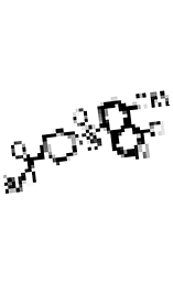 COc1ccc(S(=O)(=O)N2CCN(C(=O)OC(C)(C)C)CC2)c2ccnc(Cl)c12